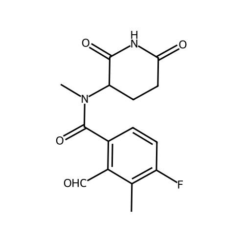 Cc1c(F)ccc(C(=O)N(C)C2CCC(=O)NC2=O)c1C=O